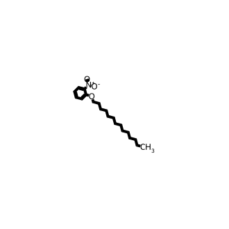 CCCCCCCCCCCCCCOc1ccccc1[N+](=O)[O-]